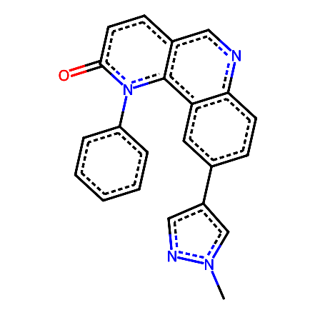 Cn1cc(-c2ccc3ncc4ccc(=O)n(-c5ccccc5)c4c3c2)cn1